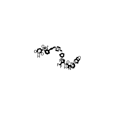 Cn1c(=O)n(C2CCC(=O)NC2=O)c2cccc(C#CCN3CCN(C[C@H]4CC[C@H](n5cc(NC(=O)c6cnn7ccc(N8CC9COCC9C8)nc67)c(C(F)F)n5)CC4)CC3)c21